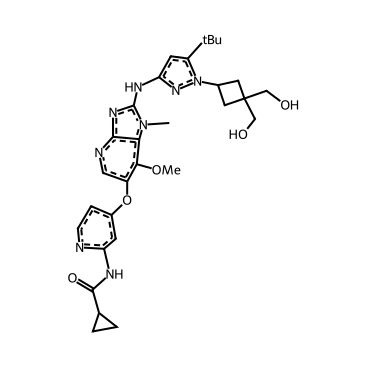 COc1c(Oc2ccnc(NC(=O)C3CC3)c2)cnc2nc(Nc3cc(C(C)(C)C)n(C4CC(CO)(CO)C4)n3)n(C)c12